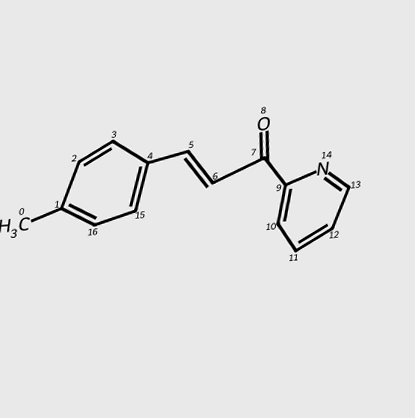 Cc1ccc(/C=C/C(=O)c2ccccn2)cc1